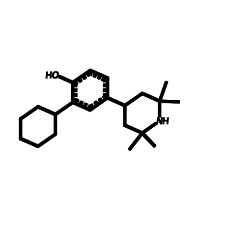 CC1(C)CC(c2ccc(O)c(C3CCCCC3)c2)CC(C)(C)N1